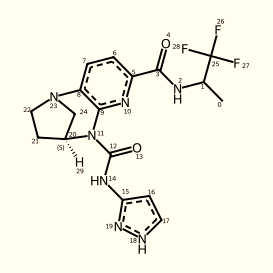 CC(NC(=O)c1ccc2c(n1)N(C(=O)Nc1cc[nH]n1)[C@H]1CCN2C1)C(F)(F)F